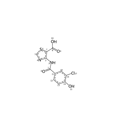 O=C(Nc1ncsc1C(=O)O)c1ccc(O)c(Cl)c1